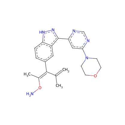 C=C(C)/C(=C(/C)ON)c1ccc2[nH]nc(-c3cc(N4CCOCC4)ncn3)c2c1